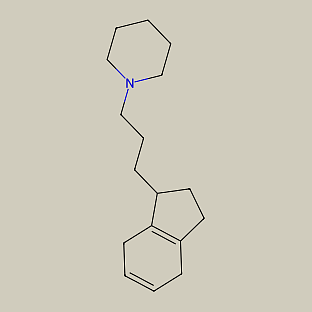 C1=CCC2=C(C1)CCC2CCCN1CCCCC1